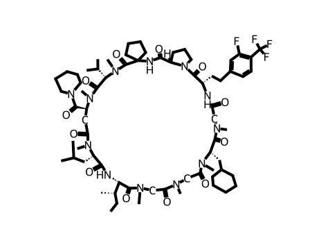 CC[C@H](C)[C@@H]1NC(=O)[C@H](CC(C)C)N(C)C(=O)C[C@@H](C(=O)N2CCCCC2)N(C)C(=O)[C@H](C(C)C)N(C)C(=O)C2(CCCC2)NC(=O)[C@@H]2CCCN2C(=O)[C@H](CCc2ccc(C(F)(F)F)c(F)c2)NC(=O)CN(C)C(=O)[C@H](CC2CCCCC2)N(C)C(=O)CN(C)C(=O)CN(C)C1=O